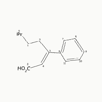 CC(C)CCC(=CC(=O)O)c1ccccc1